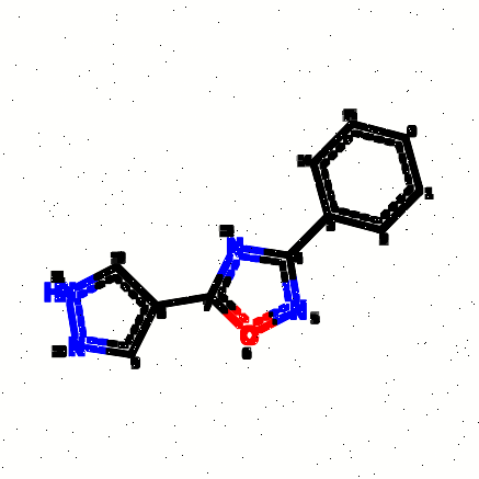 c1ccc(-c2noc(-c3cn[nH]c3)n2)cc1